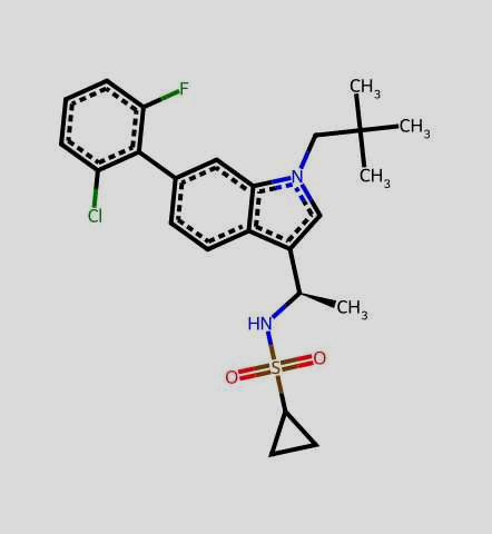 C[C@@H](NS(=O)(=O)C1CC1)c1cn(CC(C)(C)C)c2cc(-c3c(F)cccc3Cl)ccc12